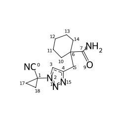 N#CC1(n2cc([CH]C3(C(N)=O)CCCCC3)nn2)CC1